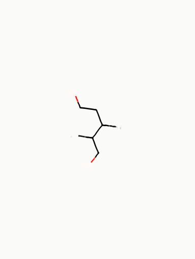 CCCCC(CCO)C(CO)CCC